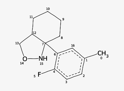 Cc1ccc(F)c(C23CCCCC2CON3)c1